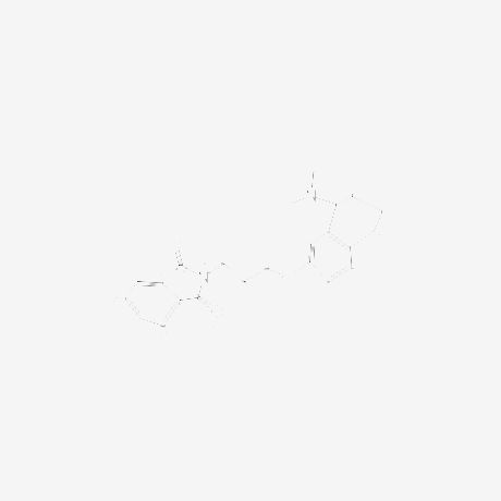 CN(C)C1CCCc2ccc(OCCCN3C(=O)c4ccccc4C3=O)cc21